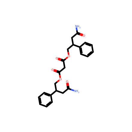 NC(=O)CC(COC(=O)CC(=O)OCC(CC(N)=O)c1ccccc1)c1ccccc1